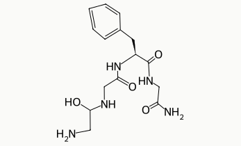 NCC(O)NCC(=O)N[C@@H](Cc1ccccc1)C(=O)NCC(N)=O